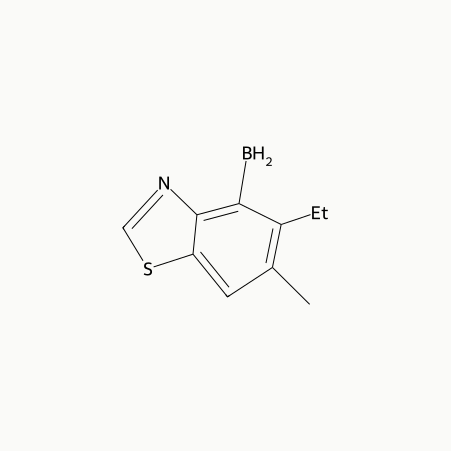 Bc1c(CC)c(C)cc2scnc12